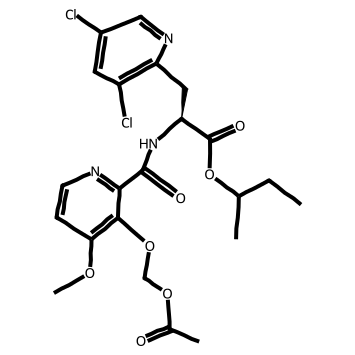 CCC(C)OC(=O)[C@H](Cc1ncc(Cl)cc1Cl)NC(=O)c1nccc(OC)c1OCOC(C)=O